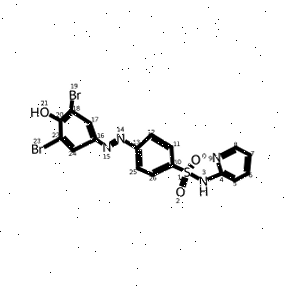 O=S(=O)(Nc1ccccn1)c1ccc(/N=N/c2cc(Br)c(O)c(Br)c2)cc1